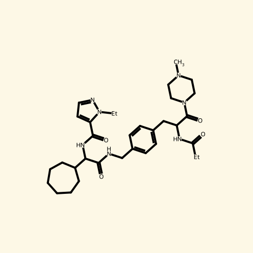 CCC(=O)NC(Cc1ccc(CNC(=O)C(NC(=O)c2ccnn2CC)C2CCCCCC2)cc1)C(=O)N1CCN(C)CC1